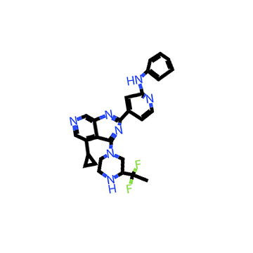 CC(F)(F)C1CN(c2nc(-c3ccnc(Nc4ccccc4)c3)nc3cncc(C4CC4)c23)CCN1